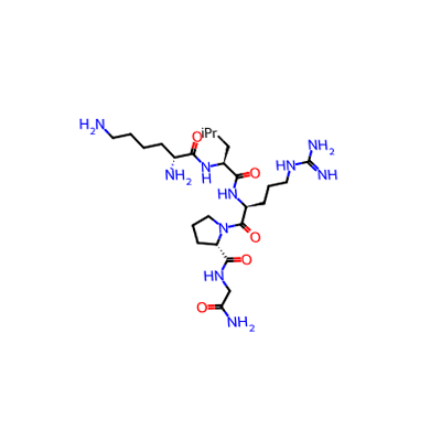 CC(C)C[C@H](NC(=O)[C@H](N)CCCCN)C(=O)N[C@@H](CCCNC(=N)N)C(=O)N1CCC[C@H]1C(=O)NCC(N)=O